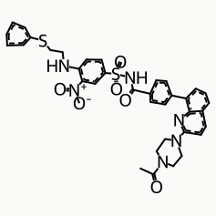 CC(=O)N1CCN(c2ccc3cccc(-c4ccc(C(=O)NS(=O)(=O)c5ccc(NCCSc6ccccc6)c([N+](=O)[O-])c5)cc4)c3n2)CC1